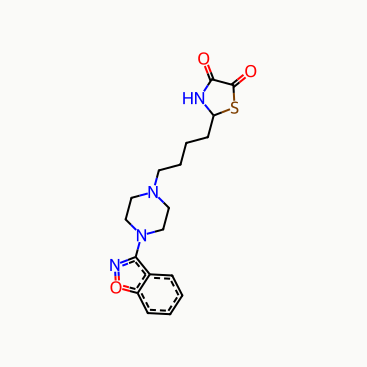 O=C1NC(CCCCN2CCN(c3noc4ccccc34)CC2)SC1=O